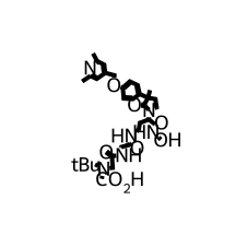 Cc1cc(COc2ccc(C3(C)CCN(C(CCNC(=O)CNC(=O)CN(C(=O)O)C(C)(C)C)C(=O)NO)C3=O)cc2)cc(C)n1